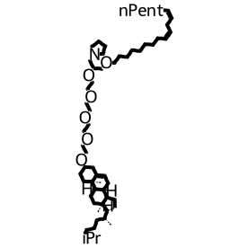 CCCCC/C=C\C/C=C\CCCCCCCCOCC(CN1CCCC1)OCCOCCOCCOCCO[C@H]1CC[C@@]2(C)C(=CC[C@H]3[C@@H]4CC[C@H]([C@H](C)CCCC(C)C)[C@@]4(C)CC[C@@H]32)C1